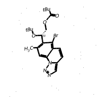 Cc1cc2c(ccc3cnnn32)c(Br)c1[C@@H](COC(=O)C(C)(C)C)OC(C)(C)C